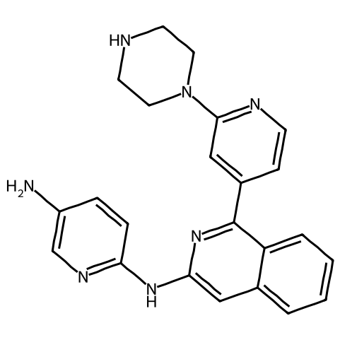 Nc1ccc(Nc2cc3ccccc3c(-c3ccnc(N4CCNCC4)c3)n2)nc1